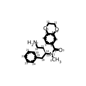 CN(C(=O)c1ccc2c(c1)OCCO2)[C@H](CCN)Cc1ccccc1